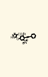 CS(=O)(=O)c1cc(Oc2[nH]nnc2C(=O)O)cc(F)c1C#Cc1ccccc1